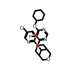 Fc1c(OC2CCCCC2)ncnc1OC1C2COCC1CN(c1ncc(Cl)cn1)C2